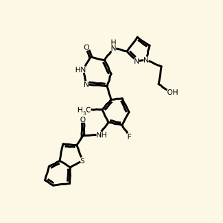 Cc1c(-c2cc(Nc3ccn(CCO)n3)c(=O)[nH]n2)ccc(F)c1NC(=O)c1cc2ccccc2s1